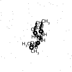 CCCCOC(=O)c1ccc(Nc2nc(Nc3ccc(C(=O)OCCCC)cc3)nc(Nc3ccc(C(=O)OC4CC(C)CCC4C(C)C)cc3)n2)cc1